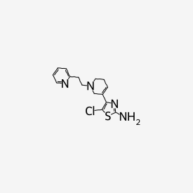 Nc1nc(C2=CCCN(CCc3ccccn3)C2)c(Cl)s1